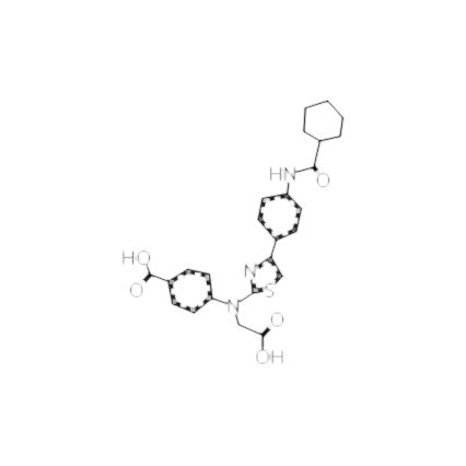 O=C(O)CN(c1ccc(C(=O)O)cc1)c1nc(-c2ccc(NC(=O)C3CCCCC3)cc2)cs1